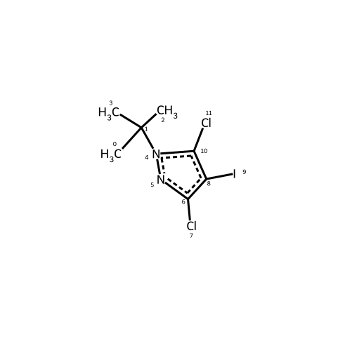 CC(C)(C)n1nc(Cl)c(I)c1Cl